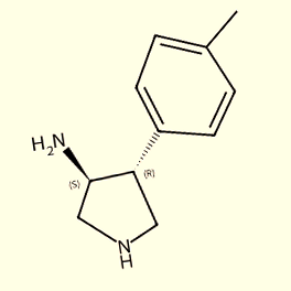 Cc1ccc([C@@H]2CNC[C@H]2N)cc1